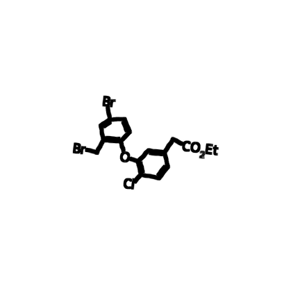 CCOC(=O)Cc1ccc(Cl)c(Oc2ccc(Br)cc2CBr)c1